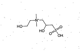 C[N+](C)(CCO)CC(O)CS(=O)(=O)O